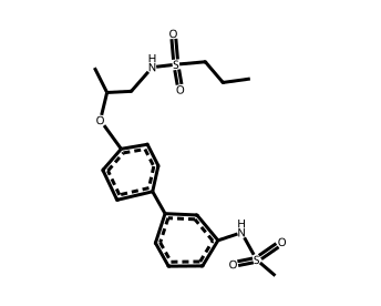 CCCS(=O)(=O)NCC(C)Oc1ccc(-c2cccc(NS(C)(=O)=O)c2)cc1